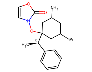 CC1CC(C(C)C)CC(On2ccoc2=O)([C@H](C)c2ccccc2)C1